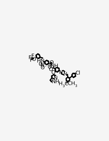 CC1(C)CCC(CN2CCN(c3ccc(C(=O)NS(=O)(=O)c4ccc(NCc5cccc(OC(F)(F)F)c5)c([N+](=O)[O-])c4)c(Oc4cnc5[nH]ccc5c4)c3)CC2)=C(c2ccc(Cl)cc2)C1